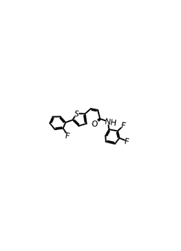 O=C(/C=C\c1ccc(-c2ccccc2F)s1)Nc1cccc(F)c1F